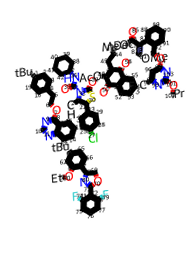 CC(C)(C)c1ccc(CCOc2ncnc3ccccc23)cc1.CC1C(c2ccc(Cl)cc2)SC(=O)N1C(=O)NC1CCCCC1.CCCCCCCCCCCCC1=C(OC(C)=O)C(=O)c2ccccc2C1=O.CCOc1cc(C(C)(C)C)ccc1C1COC(c2c(F)cccc2F)=N1.CO/C=C(/C(=O)OC)c1ccccc1COc1cc(C(F)(F)F)nc(OC(C)C)n1